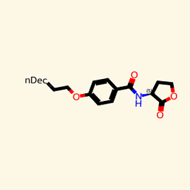 CCCCCCCCCCCCOc1ccc(C(=O)N[C@H]2CCOC2=O)cc1